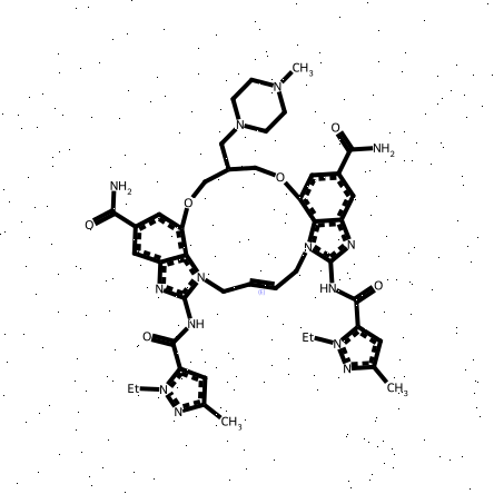 CCn1nc(C)cc1C(=O)Nc1nc2cc(C(N)=O)cc3c2n1C/C=C/Cn1c(NC(=O)c2cc(C)nn2CC)nc2cc(C(N)=O)cc(c21)OCC(CN1CCN(C)CC1)CO3